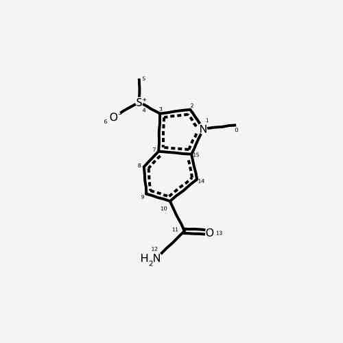 Cn1cc([S+](C)[O-])c2ccc(C(N)=O)cc21